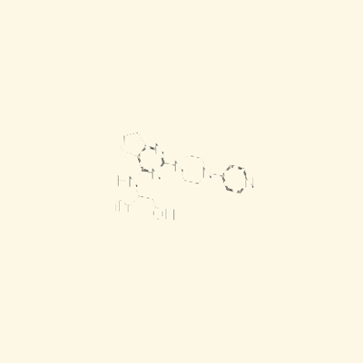 CC(C)C(CO)Nc1nc(N2CCN(c3ccncc3)CC2)nc2c1SCC2